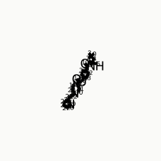 CC(C)(C)CC(C)(C)NC(=O)c1ccc(OC(=O)N2CCN(CCc3ccccn3)CC2)cc1